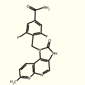 Cc1ccc2c(ncc3[nH]c(=O)n(Cc4c(F)cc(C(N)=O)cc4F)c32)n1